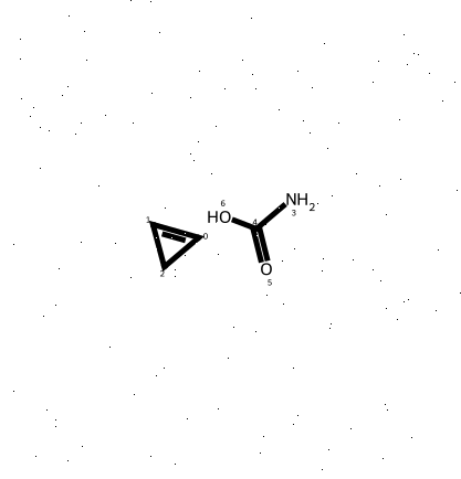 C1=CC1.NC(=O)O